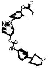 O=C(Nc1ccc(C2CCCNC2)cc1)Oc1cnn(-c2ccc(OC(F)F)cc2)c1